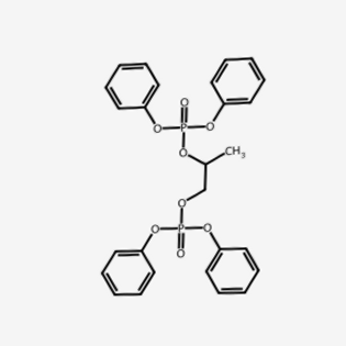 CC(COP(=O)(Oc1ccccc1)Oc1ccccc1)OP(=O)(Oc1ccccc1)Oc1ccccc1